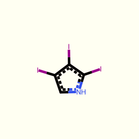 Ic1c[nH]c(I)c1I